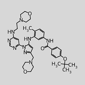 Cc1ccc(NC(=O)c2ccc(OC(C)(C)C)cc2)cc1Nc1cc(CN2CCOCC2)nn1-c1cc(NCCN2CCOCC2)ncn1